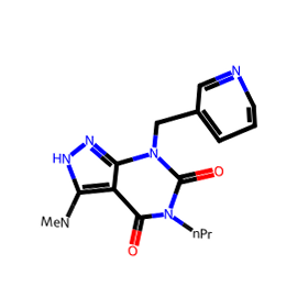 CCCn1c(=O)c2c(NC)[nH]nc2n(Cc2cccnc2)c1=O